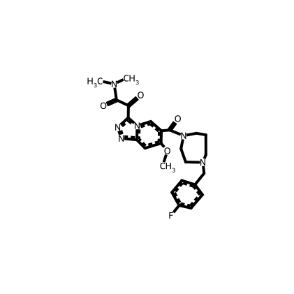 COc1cc2nnc(C(=O)C(=O)N(C)C)n2cc1C(=O)N1CCCN(Cc2ccc(F)cc2)CC1